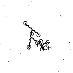 COCCCCC(CCCOC)COCC(CCCCOC)CCCOC(=O)NC(CSSC)C(=O)O